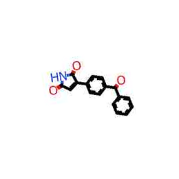 O=C1C=C(c2ccc(C(=O)c3ccccc3)cc2)C(=O)N1